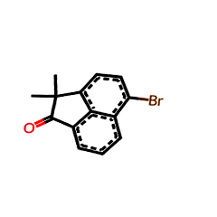 CC1(C)C(=O)c2cccc3c(Br)ccc1c23